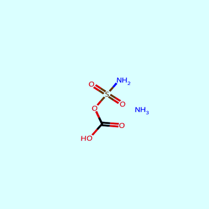 N.NS(=O)(=O)OC(=O)O